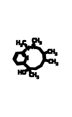 C/C1=C(\C)CN(C)N(C)c2cccc(n2)C(C)(O)CC1